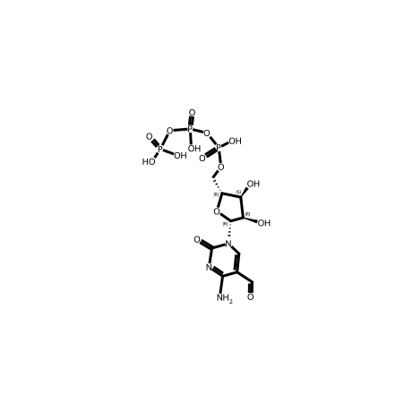 Nc1nc(=O)n([C@@H]2O[C@H](COP(=O)(O)OP(=O)(O)OP(=O)(O)O)[C@@H](O)[C@H]2O)cc1C=O